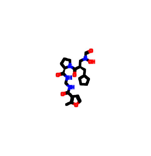 Cc1occc1C(=O)NCNC(=O)[C@@H]1CCCN1C(=O)[C@H](CC1CCCC1)CN(O)C=O